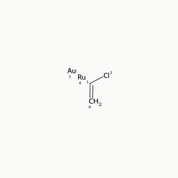 C=CCl.[Au].[Ru]